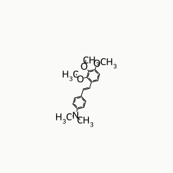 COc1ccc(C=Cc2ccc(N(C)C)cc2)c(OC)c1OC